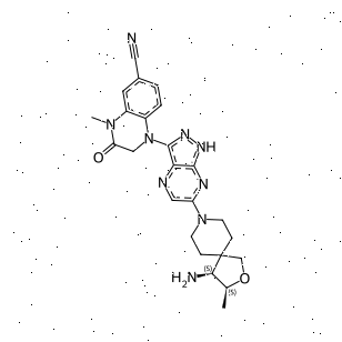 C[C@@H]1OCC2(CCN(c3cnc4c(N5CC(=O)N(C)c6cc(C#N)ccc65)n[nH]c4n3)CC2)[C@@H]1N